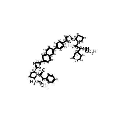 CN(C)C(C(=O)N1CCC[C@H]1c1ncc(-c2ccc3cc(-c4ccc(-c5cnc([C@@H]6CCCN6C(=O)[C@@H](NC(=O)O)C6CCOCC6)[nH]5)cc4)ccc3c2)[nH]1)c1ccccc1